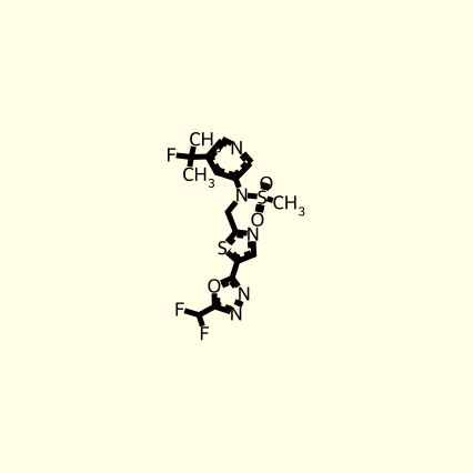 CC(C)(F)c1cncc(N(Cc2ncc(-c3nnc(C(F)F)o3)s2)S(C)(=O)=O)c1